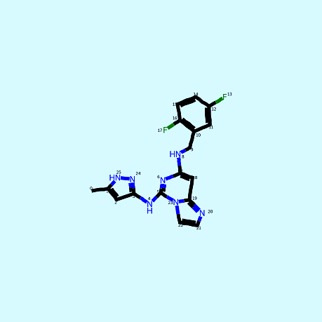 Cc1cc(Nc2nc(NCc3cc(F)ccc3F)cc3nccn23)n[nH]1